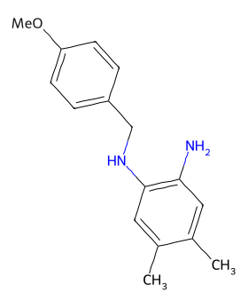 COc1ccc(CNc2cc(C)c(C)cc2N)cc1